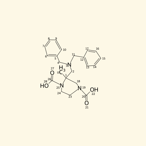 CC1(CN(Cc2ccccc2)Cc2ccccc2)CN(C(=O)O)CCN1C(=O)O